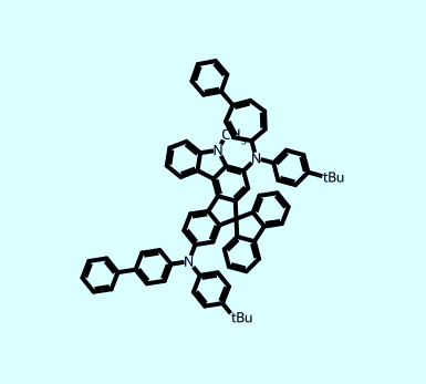 Cn1c2ccccc2c2c3c(cc(N(c4ccc(C(C)(C)C)cc4)C4C=CC=C(c5ccccc5)C=C4)c21)C1(c2ccccc2-c2ccccc21)c1cc(N(c2ccc(-c4ccccc4)cc2)c2ccc(C(C)(C)C)cc2)ccc1-3